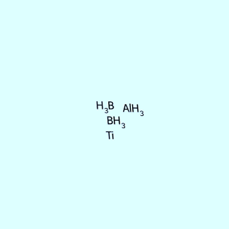 B.B.[AlH3].[Ti]